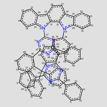 c1ccc(-c2nc(-c3ccccc3)nc(-c3ccc(-n4c5ccccc5c5ccc6c7ccccc7n(-c7nc(-c8ccccc8)nc(-c8cccc9c8C(c8ccccc8)(c8ccccc8)c8ccccc8-9)n7)c6c54)cc3)n2)cc1